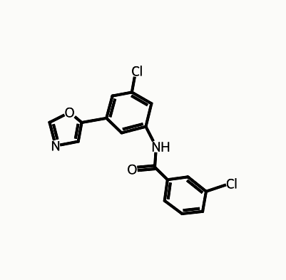 O=C(Nc1cc(Cl)cc(-c2cnco2)c1)c1cccc(Cl)c1